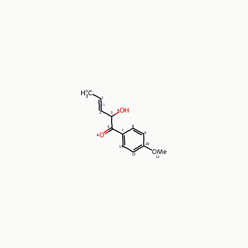 C/C=C/C(O)C(=O)c1ccc(OC)cc1